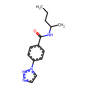 [CH2]C(CCC)NC(=O)c1ccc(-n2ccnn2)cc1